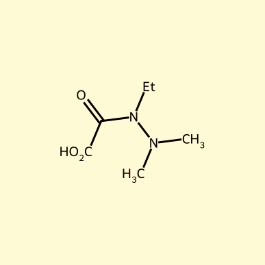 CCN(C(=O)C(=O)O)N(C)C